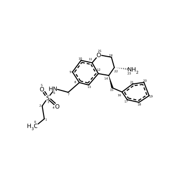 CCCS(=O)(=O)NCc1ccc2c(c1)[C@H](Cc1ccccc1)[C@@H](N)CO2